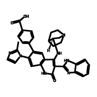 Cc1nccn1-c1cc2[nH]c(=O)c(-c3nc4ccccc4[nH]3)c(N[C@@H]3CN4CCC3CC4)c2cc1-c1ccc(C(=O)O)cc1